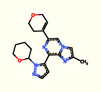 Cc1cn2cc(C3=CCOCC3)nc(-c3ccnn3C3CCCCO3)c2n1